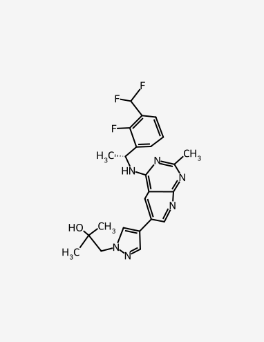 Cc1nc(N[C@H](C)c2cccc(C(F)F)c2F)c2cc(-c3cnn(CC(C)(C)O)c3)cnc2n1